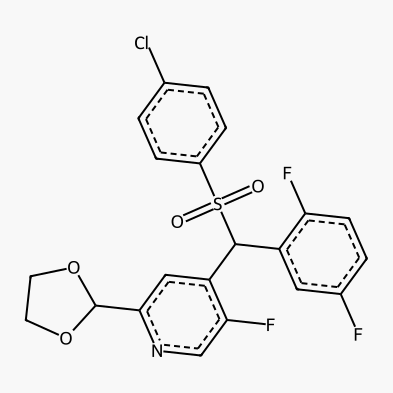 O=S(=O)(c1ccc(Cl)cc1)C(c1cc(F)ccc1F)c1cc(C2OCCO2)ncc1F